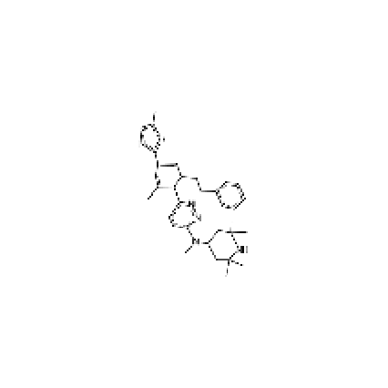 CC1=CC(c2ncc(C)o2)=CC(CCc2ccccc2)C1c1ccc(N(C)C2CC(C)(C)NC(C)(C)C2)nn1